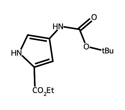 CCOC(=O)c1cc(NC(=O)OC(C)(C)C)c[nH]1